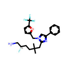 CC(C)(CC[C@H](F)CN)Cc1nc(-c2ccccc2)cn1Cc1ccc(C(F)(F)F)o1